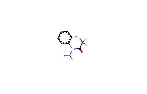 C[C@H](O)N1C(=O)C(F)(F)Oc2ccccc21